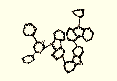 c1ccc(-c2cc(-c3ccccc3)nc(-n3c4ccccc4c4cc(-c5cccc6oc7ccc(-c8cccc9c8c8ccccc8n9-c8ccccc8)cc7c56)ccc43)n2)cc1